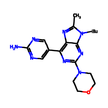 CCC(C)n1c(C)nc2c(-c3cnc(N)nc3)nc(N3CCOCC3)nc21